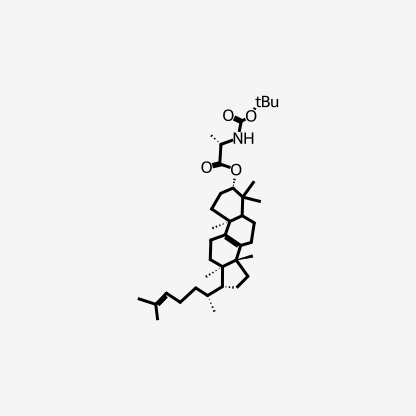 CC(C)=CCC[C@@H](C)[C@H]1CC[C@@]2(C)C3=C(CC[C@]12C)[C@@]1(C)CC[C@H](OC(=O)[C@H](C)NC(=O)OC(C)(C)C)C(C)(C)C1CC3